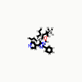 CCC[CH2][Sn]([CH2]CCC)([CH2]CCC)[c]1c(-c2ccncc2)nc(-c2ccccc2)n1COCC[Si](C)(C)C